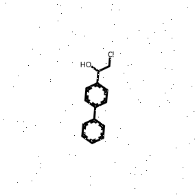 OC(CCl)c1ccc(-c2ccccc2)cc1